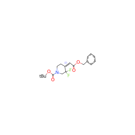 CC(C)(C)OC(=O)N1CC/C(=C/C(=O)OCc2ccccc2)C(F)(F)C1